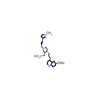 COc1ccc2nccc([C@@H](F)CC[C@@H]3CCN(CC#Cc4ccn(C)c4)C[C@@H]3CC(=O)O)c2c1